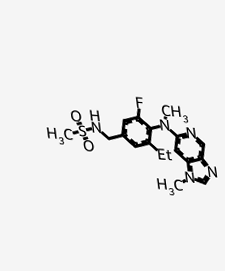 CCc1cc(CNS(C)(=O)=O)cc(F)c1N(C)c1cc2c(cn1)ncn2C